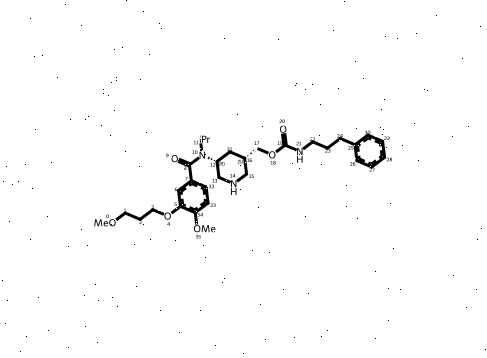 COCCCOc1cc(C(=O)N(C(C)C)[C@H]2CNC[C@@H](COC(=O)NCCCc3ccccc3)C2)ccc1OC